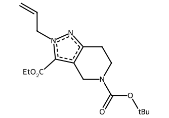 C=CCn1nc2c(c1C(=O)OCC)CN(C(=O)OC(C)(C)C)CC2